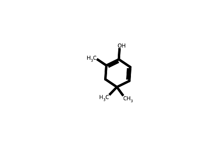 CC1=C(O)C=CC(C)(C)C1